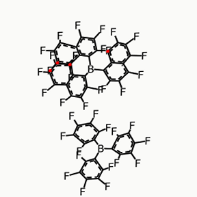 Fc1c(F)c(F)c(B(c2c(F)c(F)c(F)c(F)c2F)c2c(F)c(F)c(F)c(F)c2F)c(F)c1F.Fc1c(F)c(F)c2c(B(c3c(F)c(F)c(F)c4c(F)c(F)c(F)c(F)c34)c3c(F)c(F)c(F)c4c(F)c(F)c(F)c(F)c34)c(F)c(F)c(F)c2c1F